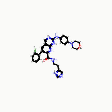 O=C(NCCc1cnc[nH]1)c1nc2nc(Nc3ccc(N4CCOCC4)cc3)ncc2cc1-c1ccccc1Br